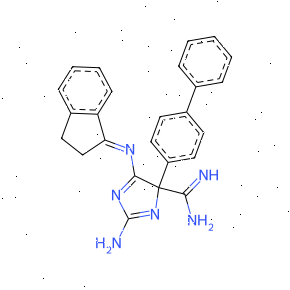 N=C(N)C1(c2ccc(-c3ccccc3)cc2)N=C(N)N=C1N=C1CCc2ccccc21